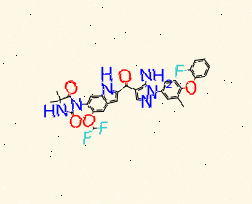 Cc1cc(-n2ncc(C(=O)c3cc4cc(OC(F)F)c(N5C(=O)NC(C)(C)C5=O)cc4[nH]3)c2N)ccc1Oc1ccccc1F